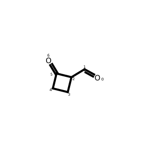 O=[C]C1CCC1=O